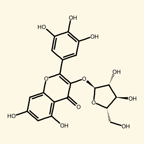 O=c1c(O[C@@H]2O[C@@H](CO)[C@H](O)[C@H]2O)c(-c2cc(O)c(O)c(O)c2)oc2cc(O)cc(O)c12